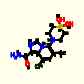 CC(=O)c1cc(Cl)c2c(C(N)=O)ncn2c1N1CCS(O)(O)CC1